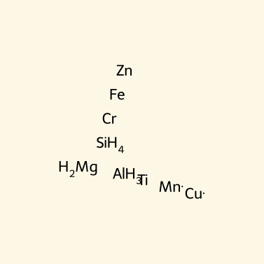 [AlH3].[Cr].[Cu].[Fe].[MgH2].[Mn].[SiH4].[Ti].[Zn]